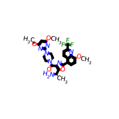 COc1cc(OC)nc(N2CCN(C(=O)c3nc(-c4ccc(OC)c5nc(C(F)(F)F)ccc45)oc3[C@H](C)N)CC2)n1